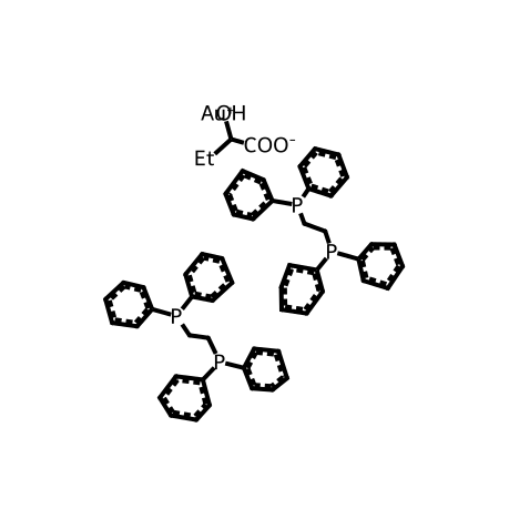 CCC(O)C(=O)[O-].[Au+].c1ccc(P(CCP(c2ccccc2)c2ccccc2)c2ccccc2)cc1.c1ccc(P(CCP(c2ccccc2)c2ccccc2)c2ccccc2)cc1